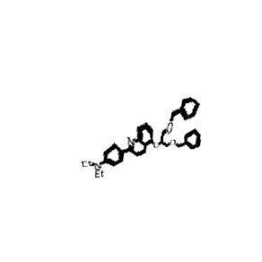 CCN(CC)c1ccc(-c2ccc3c(OC(COCc4ccccc4)COCc4ccccc4)cccc3n2)cc1